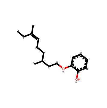 CCC(C)=CCCC(C)CCOc1ccccc1O